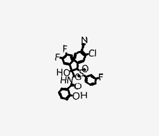 N#Cc1ccc(C(C(O)(CNC(=O)c2ccccc2O)c2ccc(F)c(F)c2)S(=O)(=O)c2cccc(F)c2)cc1Cl